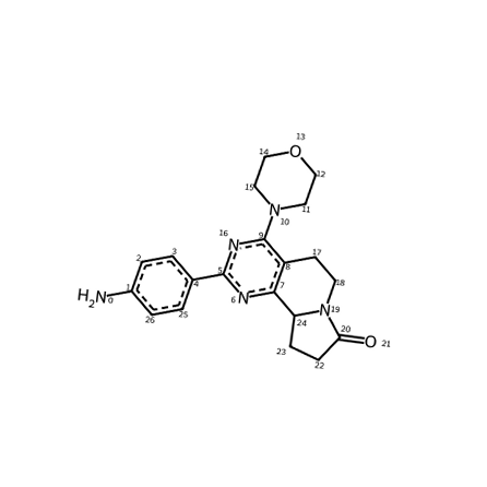 Nc1ccc(-c2nc3c(c(N4CCOCC4)n2)CCN2C(=O)CCC32)cc1